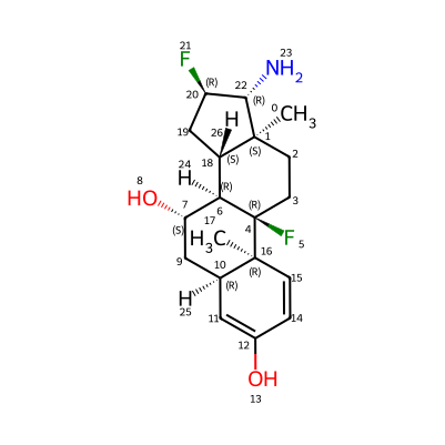 C[C@]12CC[C@@]3(F)[C@@H]([C@@H](O)C[C@@H]4C=C(O)C=C[C@@]43C)[C@@H]1C[C@@H](F)[C@@H]2N